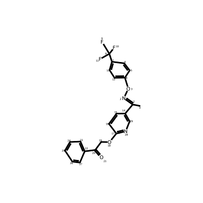 C/C(=N\Oc1ccc(C(F)(F)F)cc1)c1ccc(OCC(=O)c2ccccc2)nc1